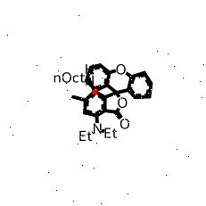 CCCCCCCCNc1c(C)cc(N(CC)CC)c2c1C1(OC2=O)c2ccccc2Oc2ccccc21